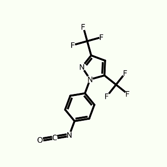 O=C=Nc1ccc(-n2nc(C(F)(F)F)cc2C(F)(F)F)cc1